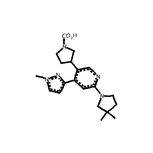 Cn1ccc(-c2cc(N3CCC(C)(C)C3)ncc2C2CCN(C(=O)O)C2)n1